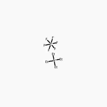 CC[N+](CC)(CC)CC.F[P-](F)(F)(F)(F)F